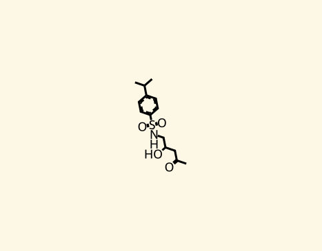 CC(=O)CC(O)CNS(=O)(=O)c1ccc(C(C)C)cc1